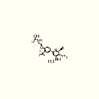 CNc1cc(-c2ccc(OCCNC(=O)O)c(C(F)(F)F)c2)nc(C#N)c1N